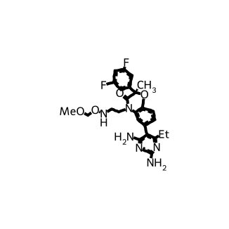 CCc1nc(N)nc(N)c1-c1ccc2c(c1)N(CCNOCOC)C(=O)[C@](C)(c1cc(F)cc(F)c1)O2